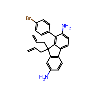 C=CCC1(CC=C)c2cc(N)ccc2-c2ccc(N)c(-c3ccc(Br)cc3)c21